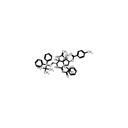 C=C1N[C@H]2[C@H](CO[Si](c3ccccc3)(c3ccccc3)C(C)(C)C)N/C(=N/C(=O)C(Cl)(Cl)Cl)N3[C@@H](c4ccccc4)[C@H](OC(=O)c4ccc(C)cc4)[C@H](O)C23N1